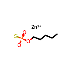 CCCCCOP(=O)([O-])[S-].[Zn+2]